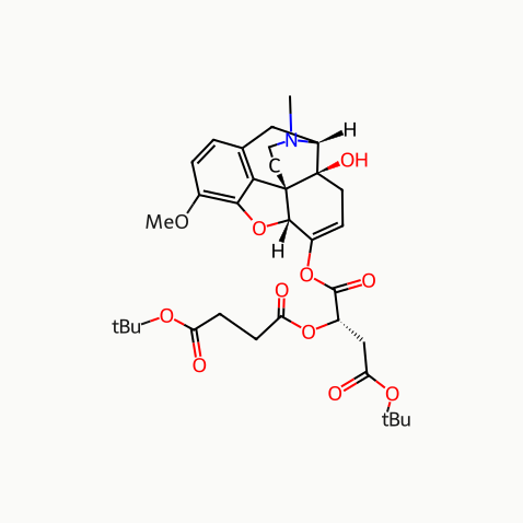 COc1ccc2c3c1O[C@H]1C(OC(=O)[C@H](CC(=O)OC(C)(C)C)OC(=O)CCC(=O)OC(C)(C)C)=CC[C@@]4(O)[C@@H](C2)N(C)CC[C@]314